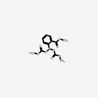 COC(=O)OB(OC(=O)OC)c1ccccc1C(=O)OC